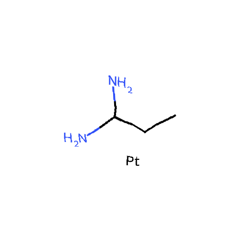 CCC(N)N.[Pt]